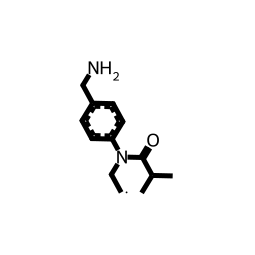 [CH2]CN(C(=O)C(C)C)c1ccc(CN)cc1